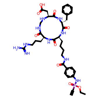 C#CP(=O)(Nc1ccc(C(=O)NCCCC[C@@H]2NC(=O)[C@@H](Cc3ccccc3)NC(=O)[C@H](CC(=O)O)NCNC(=O)[C@H](CCCNC(=N)N)NC2=O)cc1)OCC